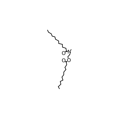 CCCCCCCCCCCC(=O)OCCN(C)C(=O)CCCCCCCCCCC